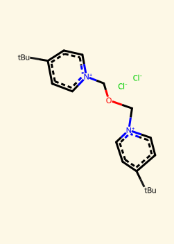 CC(C)(C)c1cc[n+](COC[n+]2ccc(C(C)(C)C)cc2)cc1.[Cl-].[Cl-]